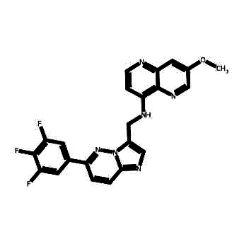 COc1cnc2c(NCc3cnc4ccc(-c5cc(F)c(F)c(F)c5)nn34)ccnc2c1